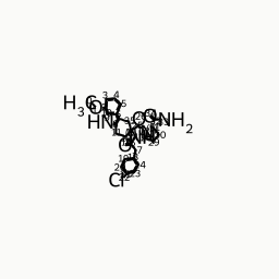 COc1cccc2c3c([nH]c12)CC[C@](NC(=O)Cc1ccc(Cl)cc1)(C(=O)N1CCC[C@H]1C(N)=O)C3